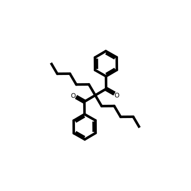 CCCCCC(CCCCC)(C(=O)c1ccccc1)C(=O)c1ccccc1